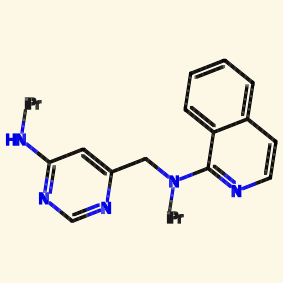 CC(C)Nc1cc(CN(c2nccc3ccccc23)C(C)C)ncn1